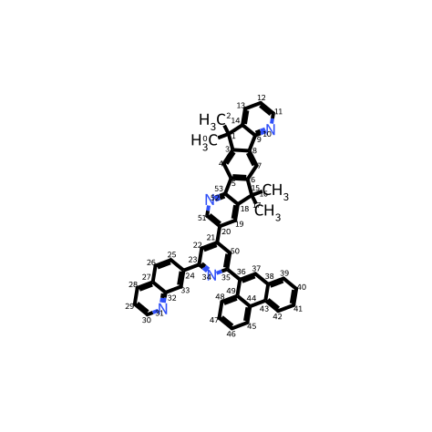 CC1(C)c2cc3c(cc2-c2ncccc21)C(C)(C)c1cc(-c2cc(-c4ccc5cccnc5c4)nc(-c4cc5ccccc5c5ccccc45)c2)cnc1-3